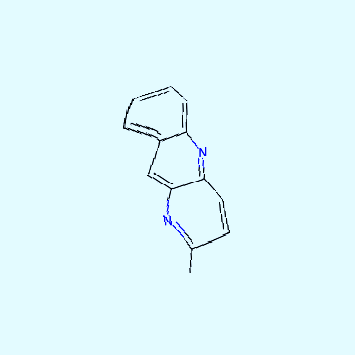 Cc1ccc2nc3ccccc3cc2n1